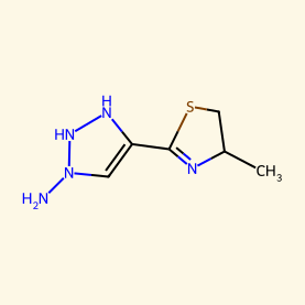 CC1CSC(C2=CN(N)NN2)=N1